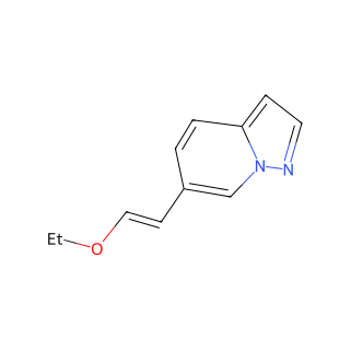 CCOC=Cc1ccc2ccnn2c1